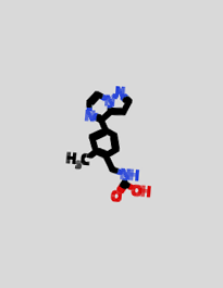 Cc1cc(-c2nccn3nccc23)ccc1CNC(=O)O